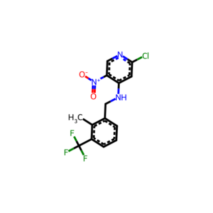 Cc1c(CNc2cc(Cl)ncc2[N+](=O)[O-])cccc1C(F)(F)F